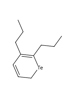 CCCC1=C(CCC)[Te]CC=C1